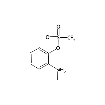 C[SiH2]c1ccccc1OS(=O)(=O)C(F)(F)F